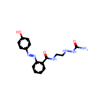 NC(=O)NNCCNC(=O)c1ccccc1N=Nc1ccc(O)cc1